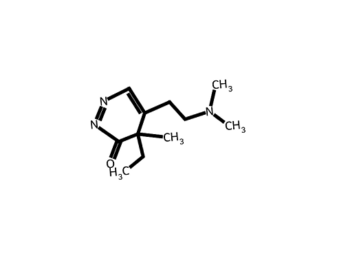 CCC1(C)C(=O)N=NC=C1CCN(C)C